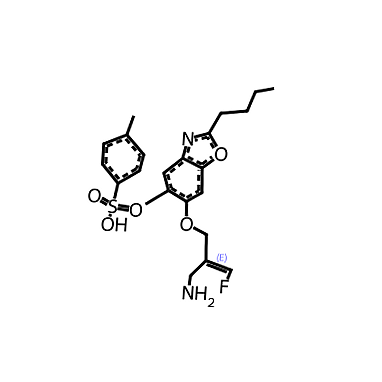 CCCCc1nc2cc(C)c(OC/C(=C/F)CN)cc2o1.Cc1ccc(S(=O)(=O)O)cc1